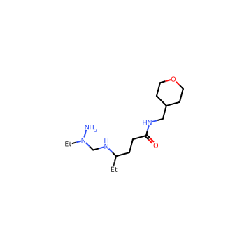 CCC(CCC(=O)NCC1CCOCC1)NCN(N)CC